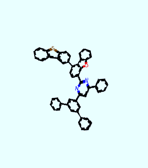 c1ccc(-c2cc(-c3ccccc3)cc(-c3cc(-c4ccccc4)nc(-c4ccc(-c5ccc6sc7ccccc7c6c5)c5c4oc4ccccc45)n3)c2)cc1